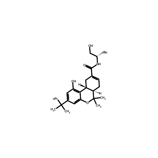 CCCC(C)(C)c1cc(O)c2c(c1)OC(C)(C)[C@@H]1CC=C(C(=O)N[C@H](CO)C(C)(C)C)C[C@@H]21